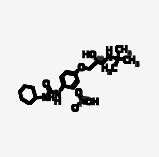 CC(C)(C)NC[C@H](O)COc1ccc(NC(=O)NC2CCCCC2)cc1.O=[N+]([O-])O